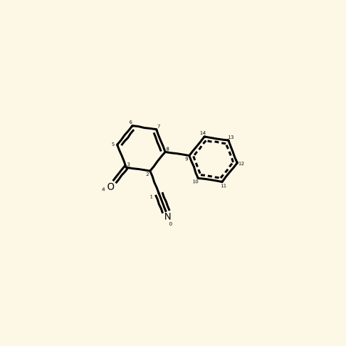 N#CC1C(=O)C=CC=C1c1ccccc1